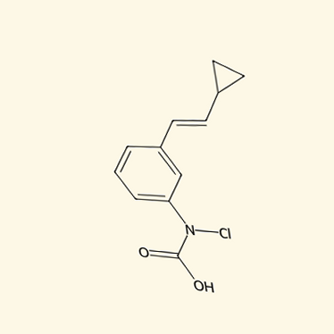 O=C(O)N(Cl)c1cccc(C=CC2CC2)c1